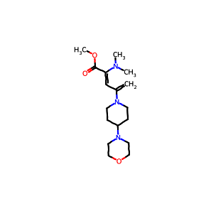 C=C(/C=C(/C(=O)OC)N(C)C)N1CCC(N2CCOCC2)CC1